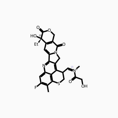 CC[C@@]1(O)C(=O)OCc2c1cc1n(c2=O)Cc2c-1nc1cc(F)c(C)c3c1c2C(/C=[N+](/C)C(=O)CO)CS3